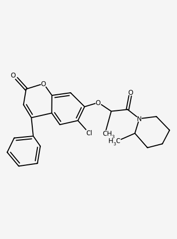 CC(Oc1cc2oc(=O)cc(-c3ccccc3)c2cc1Cl)C(=O)N1CCCCC1C